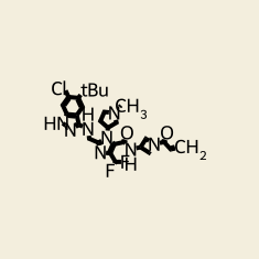 C=CC(=O)N1CC(NC(=O)c2c(C(F)F)nc(CNc3n[nH]c4cc(Cl)c(C(C)(C)C)cc34)n2C2CCN(C)C2)C1